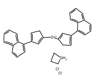 C1=[C]([Zr+2][C]2=CC(c3cccc4ccccc34)=CC2)CC=C1c1cccc2ccccc12.C1C[SiH2]C1.[Cl-].[Cl-]